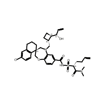 C=CCC[C@H](C(=O)N(C)C)S(=O)(=O)NC(=O)c1ccc2c(c1)N(C[C@@H]1CC[C@H]1[C@@H](O)C=C)C[C@@]1(CCCc3cc(Cl)ccc31)CO2